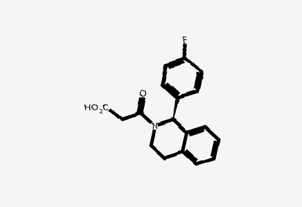 O=C(O)CC(=O)N1CCc2ccccc2[C@@H]1c1ccc(F)cc1